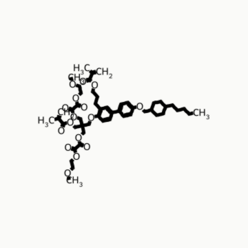 C=C(C)C(=O)OCCCc1cc(-c2ccc(OCC3CCC(CCCCC)CC3)cc2)ccc1OCC(COC(=O)C(=C)C)(COC(=O)C(=O)OCCOC)COC(=O)C(=O)OCCOC